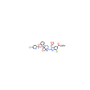 COC(=O)c1cc(Cl)c2nc(CN3CCN(c4cccc5c4OC(C)(c4ccc(Cl)cn4)O5)[C@H]4COC[C@H]43)n(C[C@@H]3CCO3)c2c1